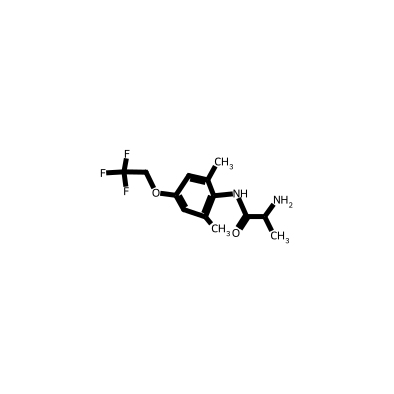 Cc1cc(OCC(F)(F)F)cc(C)c1NC(=O)C(C)N